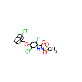 CS(=O)(=O)NC(=O)c1cc(Cl)c(OCC23CC4CC(CC(Cl)(C4)C2)C3)cc1F